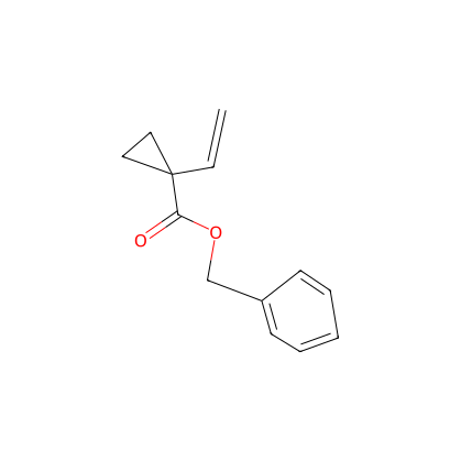 C=CC1(C(=O)OCc2ccccc2)CC1